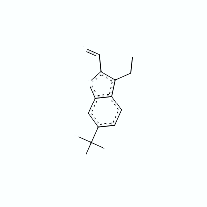 CCc1c(C=O)sc2cc(C(F)(F)F)ccc12